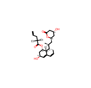 C=CCC(CC)(CC)C(=O)O[C@H]1C[C@H](O)C=C2C=CC[C@@H]([C@@H](C)C[C@@H]3C[C@@H](O)CC(=O)O3)[C@H]21